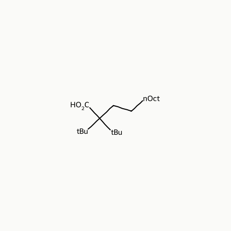 CCCCCCCCCCC(C(=O)O)(C(C)(C)C)C(C)(C)C